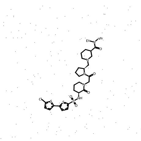 CCCN(CC)C(=O)C1CCCN(C[C@@H]2CCCN2C(=O)CN2CCC[C@H](NS(=O)(=O)c3ccc(-c4ccc(Cl)s4)s3)C2=O)C1